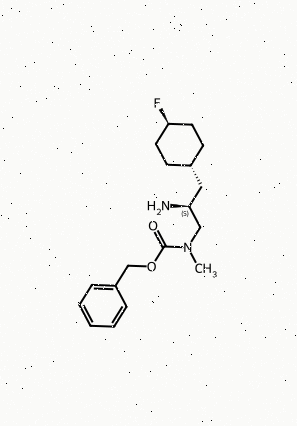 CN(C[C@@H](N)C[C@H]1CC[C@H](F)CC1)C(=O)OCc1ccccc1